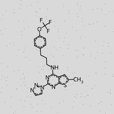 Cc1cc2c(NCCCc3ccc(OC(F)(F)F)cc3)nc(-n3ccnn3)nc2s1